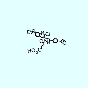 CCOc1ccc2cc(C3CC(c4ccc(-c5ccoc5)cc4)=NN3C(=O)CCCC(=O)O)c(Cl)nc2c1